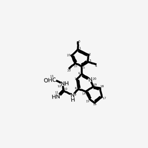 Cc1cc(C)c(-c2cc(NC(=N)NC=O)c3ccccc3n2)c(C)c1